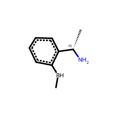 CBc1ccccc1[C@H](C)N